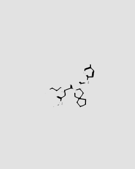 CCCC[C@H](CC(=O)NO)C(=O)N1CC2(CCCC2)C[C@H]1C(=O)Nc1ccc(F)cn1